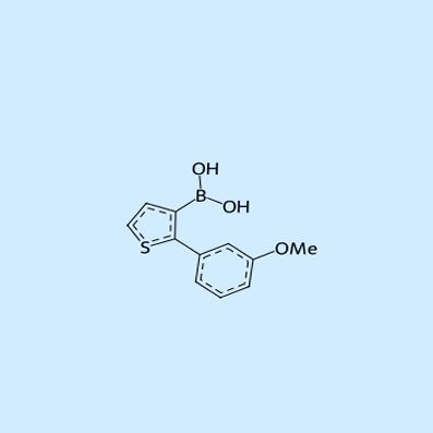 COc1cccc(-c2sccc2B(O)O)c1